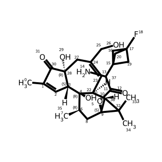 CC1=C[C@H]2[C@@]3(O)[C@H](C)C[C@]4(OC(=O)C(N)C56CC(F)(C5)C6)[C@H]([C@@H]3C=C(CO)C[C@]2(O)C1=O)C4(C)C